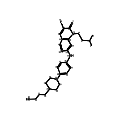 CC(C)CCn1c(=O)c(F)cc2cnc(Nc3ccc(N4CCC(CCCO)CC4)cc3)cc21